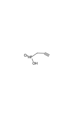 C#CC[PH](=O)O